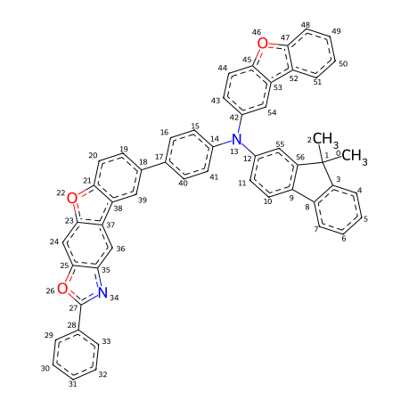 CC1(C)c2ccccc2-c2ccc(N(c3ccc(-c4ccc5oc6cc7oc(-c8ccccc8)nc7cc6c5c4)cc3)c3ccc4oc5ccccc5c4c3)cc21